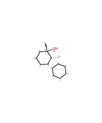 C1CCCCC1.C[C@@H]1CCCC[C@]1(C)O